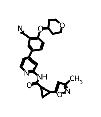 Cc1cc(C2CC2C(=O)Nc2cc(-c3ccc(OC4CCOCC4)c(C#N)c3)ccn2)on1